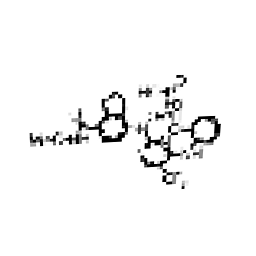 CONC(=O)c1ccc(Nc2ncc(C(F)(F)F)c(Nc3ccccc3O[PH](=O)O[PH](=O)O)n2)c2c1CCO2